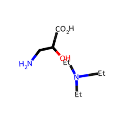 CCN(CC)CC.NCC(O)C(=O)O